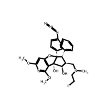 COc1cc2c(c(OC)n1)[C@]1(O)[C@H](O)[C@H](CN(C)CCF)[C@@H](c3ccccc3)[C@]1(c1ccc(N=[N+]=[N-])cc1)O2